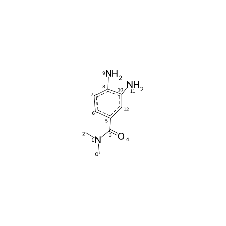 CN(C)C(=O)c1ccc(N)c(N)c1